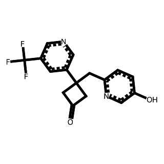 O=C1CC(Cc2ccc(O)cn2)(c2cncc(C(F)(F)F)c2)C1